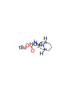 CN(C(=O)OC(C)(C)C)[C@@H]1C[C@H]2CCC[C@@H](C1)N2C(=O)O